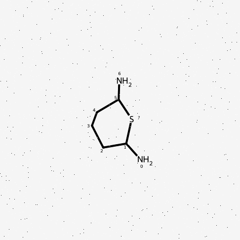 NC1CCCC(N)S1